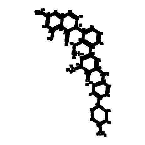 CN1CCC(c2ccc(Nc3cc(-c4cccc(-n5ncc6cc(C(C)(C)C)cc(F)c6c5=O)c4CO)nn(C)c3=O)nc2)CC1